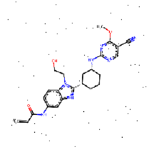 C=CC(=O)Nc1ccc2c(c1)nc([C@H]1CCC[C@@H](Nc3ncc(C#N)c(OC)n3)C1)n2CCO